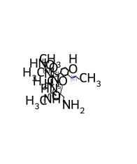 CC/C=C/c1cc([C@@H](C(=O)N[C@@H](C)C(=O)NC)N(C)C(=O)[C@H](CCCCN)NC(=O)CNC)ccc1O